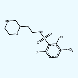 O=[N+]([O-])c1ccc(Cl)c(S(=O)(=O)NCCC2CNCCO2)c1O